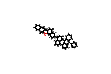 c1ccc(-c2c3ccccc3c(-c3ccc(-c4ccc5c(ccc6c7cc8ccccc8cc7oc56)c4)c4ccccc34)c3ccccc23)cc1